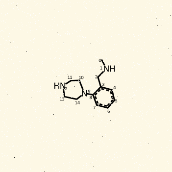 CNCc1ccccc1N1CCNCC1